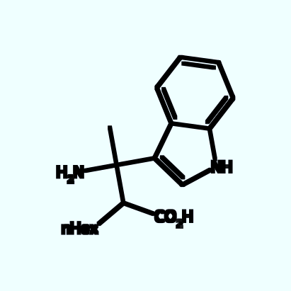 CCCCCCC(C(=O)O)C(C)(N)c1c[nH]c2ccccc12